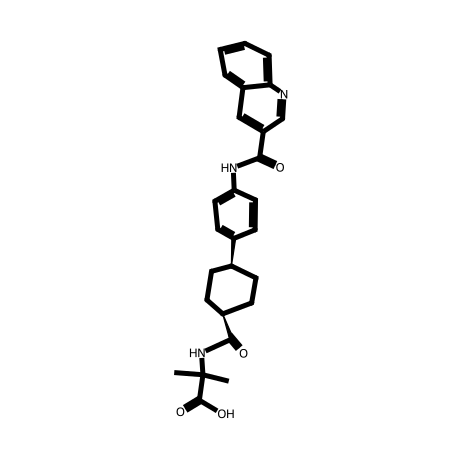 CC(C)(NC(=O)[C@H]1CC[C@@H](c2ccc(NC(=O)c3cnc4ccccc4c3)cc2)CC1)C(=O)O